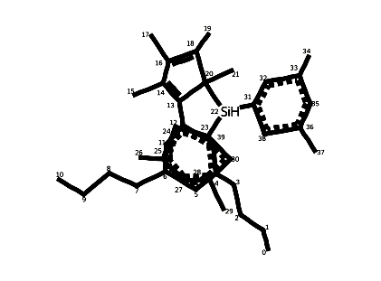 CCCCc1cc(CCCC)cc(C2=C(C)C(C)=C(C)C2(C)[SiH](c2cc(C)cc(C)c2)c2cc(C)cc(C)c2)c1